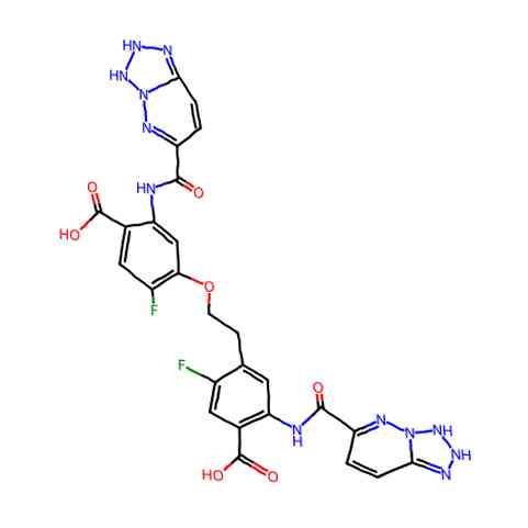 O=C(Nc1cc(CCOc2cc(NC(=O)C3=NN4NNN=C4C=C3)c(C(=O)O)cc2F)c(F)cc1C(=O)O)C1=NN2NNN=C2C=C1